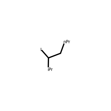 [CH2]C(C)C(I)CCCC